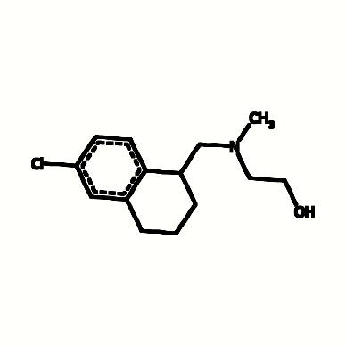 CN(CCO)CC1CCCc2cc(Cl)ccc21